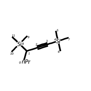 CCCC(C#C[Si](C)(C)C)[Si](C)(C)C